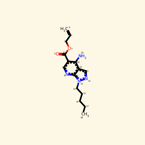 C=CCOC(=O)c1cnc2c(cnn2CCCCC)c1N